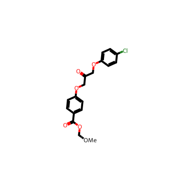 COCOC(=O)c1ccc(OCC(=O)COc2ccc(Cl)cc2)cc1